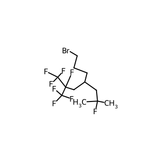 CC(C)(F)CC(CCCBr)CC(F)(C(F)(F)F)C(F)(F)F